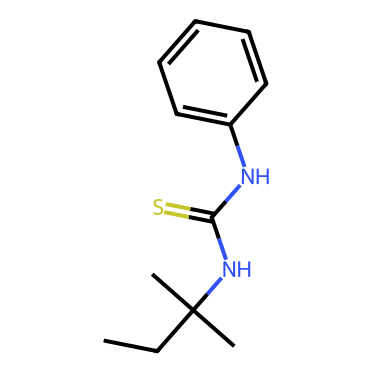 CCC(C)(C)NC(=S)Nc1ccccc1